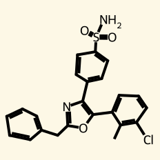 Cc1c(Cl)cccc1-c1oc(Cc2ccccc2)nc1-c1ccc(S(N)(=O)=O)cc1